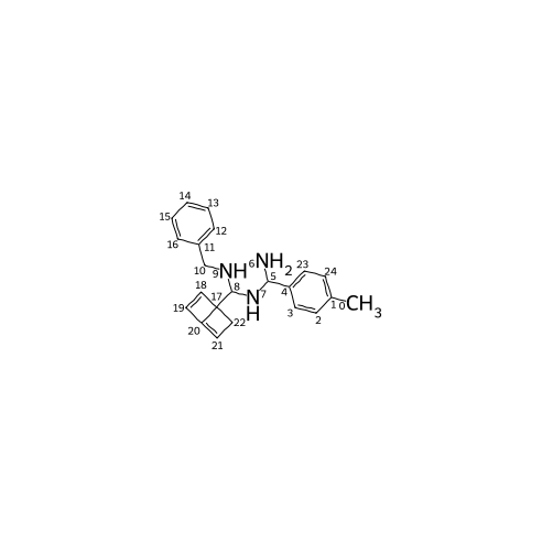 Cc1ccc(C(N)NC(NCc2ccccc2)C23C=CC2=CC3)cc1